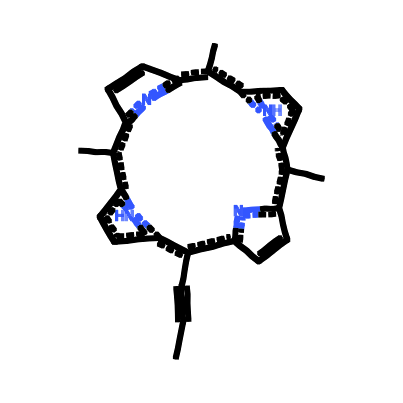 CC#Cc1c2nc(c(C)c3ccc([nH]3)c(C)c3nc(c(C)c4ccc1[nH]4)C=C3)C=C2